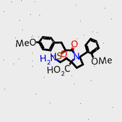 COc1ccc(CC(S)C(=O)N2C(c3ccccc3OC)CCC2(C(=O)O)C(=O)CN)cc1